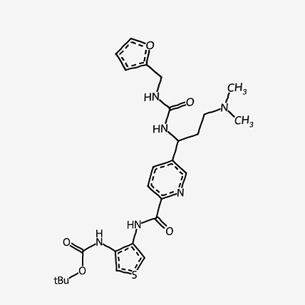 CN(C)CCC(NC(=O)NCc1ccco1)c1ccc(C(=O)Nc2cscc2NC(=O)OC(C)(C)C)nc1